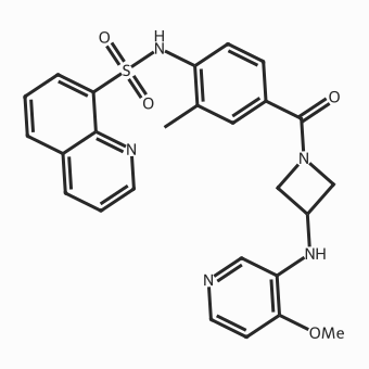 COc1ccncc1NC1CN(C(=O)c2ccc(NS(=O)(=O)c3cccc4cccnc34)c(C)c2)C1